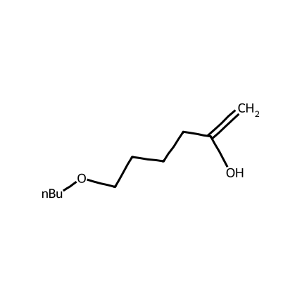 C=C(O)CCCCOCCCC